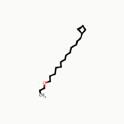 CCCOCCCCCCCCCCCCCC1CCC1